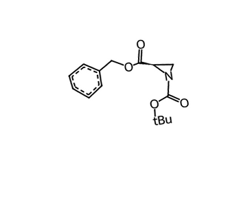 CC(C)(C)OC(=O)N1C[C@@H]1C(=O)OCc1ccccc1